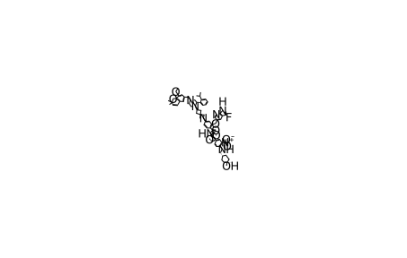 COc1cc(CN2CCN(C3CC4(C3)CN(c3ccc(C(=O)NS(=O)(=O)c5ccc(NC[C@H]6CC[C@](C)(O)CC6)c([N+](=O)[O-])c5)c(Oc5cnc6[nH]cc(F)c6c5)c3)C4)[C@H](c3ccccc3C(C)C)C2)cc2c1OC(C)(C)C=C2